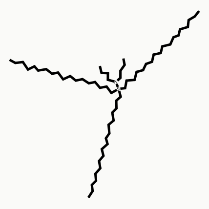 CCCCCCCCCCCCCCCCCC[Si](CCCCCCCCCCCCCCCCCC)(CCCCCCCCCCCCCCCCCC)N(CCCC)CCCC